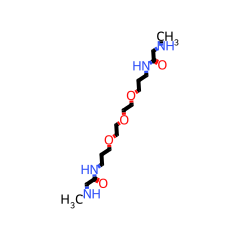 CNCC(=O)NCCCOCCOCCOCCCNC(=O)CNC